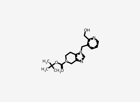 CC(C)(C)OC(=O)N1CCc2c(ncn2Cc2cccnc2CO)C1